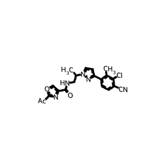 CC(=O)c1nc(C(=O)NCC(C)n2ccc(-c3ccc(C#N)c(Cl)c3C)n2)co1